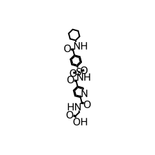 O=C(O)CNC(=O)c1ccc(C(=O)NS(=O)(=O)c2ccc(C(=O)NC3CCCCC3)cc2)cn1